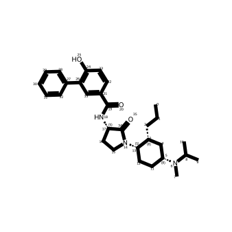 CCC[C@@H]1C[C@H](N(C)C(C)C)CC[C@@H]1N1CC[C@H](NC(=O)c2ccc(O)c(-c3ccccc3)c2)C1=O